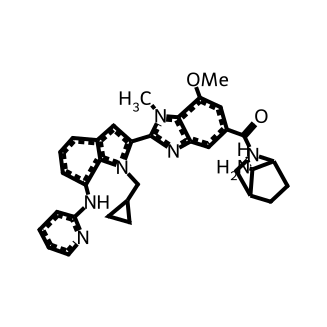 COc1cc(C(=O)N2CC3CCC2[C@@H]3N)cc2nc(-c3cc4cccc(Nc5ccccn5)c4n3CC3CC3)n(C)c12